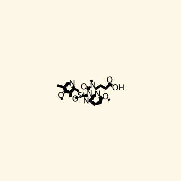 COc1ccc2nc([S+]([O-])Cc3ncc(C)c(OC)c3C)n(C(=O)N(C)CCCC(=O)O)c2n1